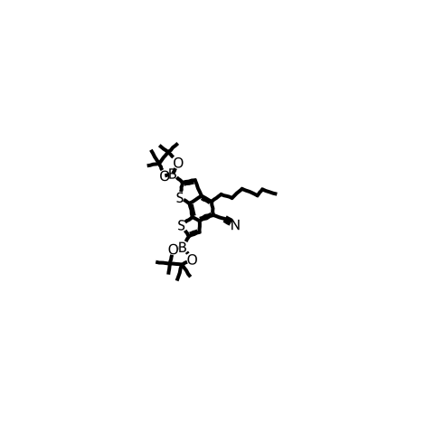 CCCCCCc1c(C#N)c2cc(B3OC(C)(C)C(C)(C)O3)sc2c2sc(B3OC(C)(C)C(C)(C)O3)cc12